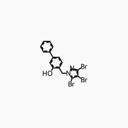 Oc1cc(-c2ccccc2)ccc1Cn1nc(Br)c(Br)c1Br